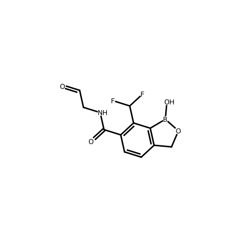 O=CCNC(=O)c1ccc2c(c1C(F)F)B(O)OC2